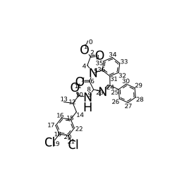 COC(=O)CN1C(=O)C(NC(=O)C(C)Cc2ccc(Cl)c(Cl)c2)N=C(c2ccccc2)c2ccccc21